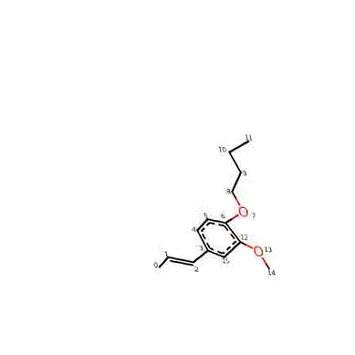 CC=Cc1ccc(OCCCC)c(OC)c1